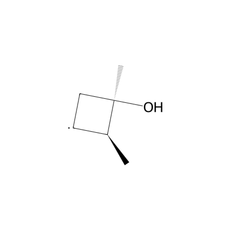 C[C@H]1[CH]C[C@@]1(C)O